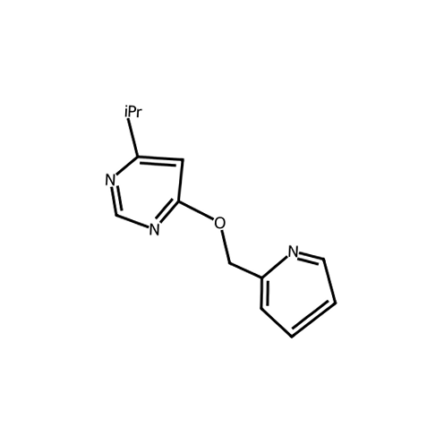 CC(C)c1cc(OCc2ccccn2)ncn1